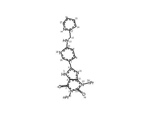 CCCn1c(=O)c2[nH]c(-c3ccc(NCc4ccccn4)nc3)nc2n(CCC)c1=O